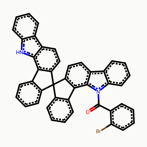 O=C(c1ccccc1Br)n1c2ccccc2c2ccc3c(c21)-c1ccccc1C31c2ccccc2-c2c1ccc1c2[nH]c2ccccc21